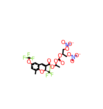 Cc1cc(OC(F)(F)F)cc2c1O[C@H](C(F)(F)F)C(C(=O)OC(C)OC(=O)OC(CO[N+](=O)[O-])CO[N+](=O)[O-])=C2